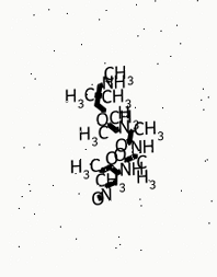 CNCC(C)(C)CCOC(C)(C)CN[C@@H](C)C(=O)N[C@@H](C)C(=O)N[C@@H](CCN=O)C(=O)C(C)C